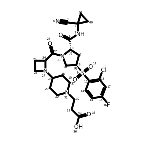 N#CC1(NC(=O)[C@@H]2C[C@@H](S(=O)(=O)c3ccc(F)cc3Cl)CN2C(=O)C2CCN2C2CCN(CCC(=O)O)CC2)CC1